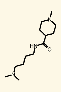 CN(C)CCCCNC(=O)C1CCN(C)CC1